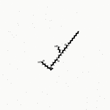 CCCCCCCCCCCOC(=O)CCCCCN(CCCCO)CCCOC(=O)CCCCCN1CCC1CCCCCC(=O)O